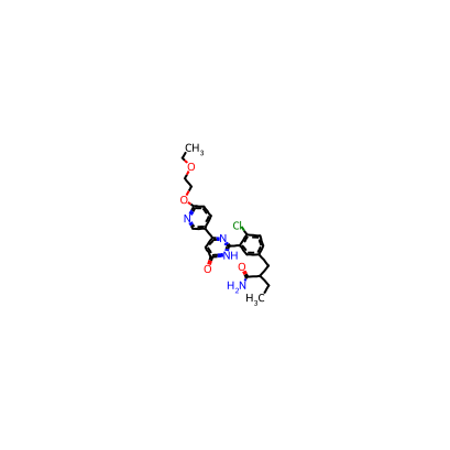 CCOCCOc1ccc(-c2cc(=O)[nH]c(-c3cc(CC(CC)C(N)=O)ccc3Cl)n2)cn1